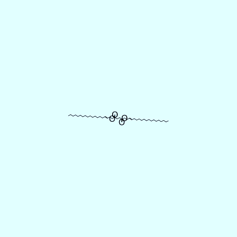 CCCCCCCCCCCCCCC/C=C/COC(=O)CCC(=O)OC/C=C/CCCCCCCCCCCCCCC